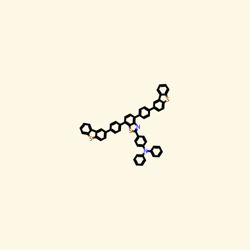 c1ccc(N(c2ccccc2)c2ccc(-c3nc4c(-c5ccc(-c6ccc7sc8ccccc8c7c6)cc5)ccc(-c5ccc(-c6ccc7sc8ccccc8c7c6)cc5)c4s3)cc2)cc1